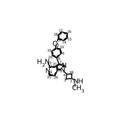 CNC1CC(n2nc(-c3ccc(Oc4ccccc4)cc3)c3c(N)nccc32)C1